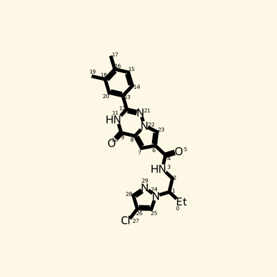 CCC(CNC(=O)c1cc2c(=O)[nH]c(-c3ccc(C)c(C)c3)nn2c1)n1cc(Cl)cn1